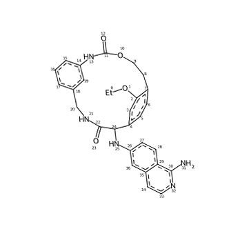 CCOc1cc2ccc1CCOC(=O)Nc1cccc(c1)CNC(=O)C2Nc1ccc2c(N)nccc2c1